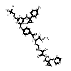 COC(=O)[C@@H](CCNC(=O)C(=O)NCC1(Cn2ccnc2)CC1)NC(=O)c1ccc(Nc2nc(NC3(c4ccc(Cl)cc4)CC3)nc(OCC(F)(F)F)n2)cc1